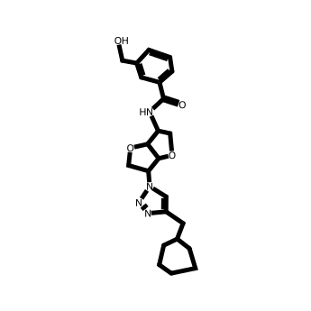 O=C(NC1COC2C1OCC2n1cc(CC2CCCCC2)nn1)c1cccc(CO)c1